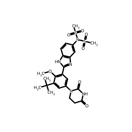 COc1c(-c2nc3cc(N(S(C)(=O)=O)S(C)(=O)=O)ccc3[nH]2)cc(N2CCC(=O)NC2=O)cc1C(C)(C)C